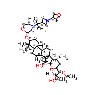 CCO[C@@H](C1C[C@@H](C)[C@H]2C(O1)[C@H](O)[C@@]1(C)C3CC[C@H]4C(C)(C)[C@@H](O[C@H]5CN(C(C)(C)C6CN(C7COC7)C6)CCO5)CC[C@@]45C[C@@]35CC[C@]21C)C(C)(C)O